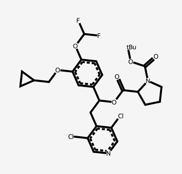 CC(C)(C)OC(=O)N1CCCC1C(=O)OC(Cc1c(Cl)cncc1Cl)c1ccc(OC(F)F)c(OCC2CC2)c1